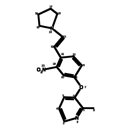 Cc1ncccc1Oc1ccc(C=CN2CCCC2)c([N+](=O)[O-])c1